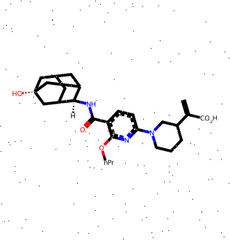 C=C(C(=O)O)C1CCCN(c2ccc(C(=O)N[C@H]3C4CC5CC3C[C@](O)(C5)C4)c(OCCC)n2)C1